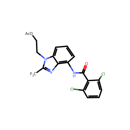 CC(=O)OCCn1c(C(F)(F)F)nc2c(NC(=O)c3c(Cl)cccc3Cl)cccc21